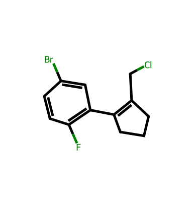 Fc1ccc(Br)cc1C1=C(CCl)CCC1